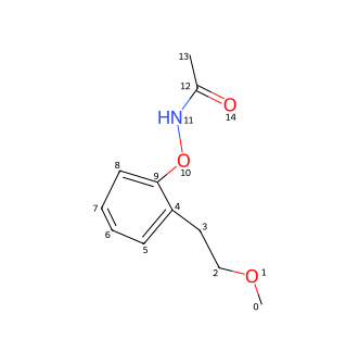 COCCc1ccccc1ONC(C)=O